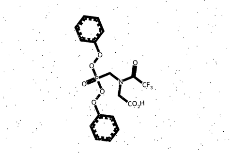 O=C(O)CN(CP(=O)(OOc1ccccc1)OOc1ccccc1)C(=O)C(F)(F)F